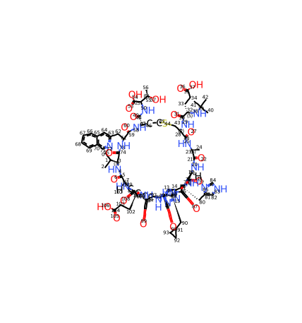 CC(C)[C@@H]1NC(=O)[C@@H]2CCCCn3cc(nn3)CC[C@H](NC(=O)[C@H](C)NC(=O)[C@@H](NC(=O)[C@H](CCC(=O)O)NC(C)(C)C)CSCC[C@@H](C(=O)NC(C(=O)O)[C@@H](C)O)NC(=O)C(Cc3cc4ccccc4cn3)NC1=O)C(=O)N[C@@H](Cc1c[nH]cn1)C(=O)N[C@@H](CC1CC1)C(=O)NCC(=O)N[C@@H](CCC(=O)O)C(=O)N2